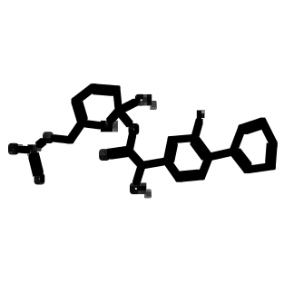 CC(C(=O)OC1(C)C=CC=C(CO[N+](=O)[O-])N1)c1ccc(-c2ccccc2)c(F)c1